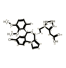 COc1ccc(F)c([C@H]2O[C@H](CCN3NNN=C3CC(=O)O)c3cccn3-c3ccc(Cl)cc32)c1OC